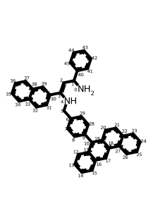 NC(/C=C(\NCc1ccc(-c2c3ccccc3cc3c2ccc2ccccc23)cc1)c1ccc2ccccc2c1)c1ccccc1